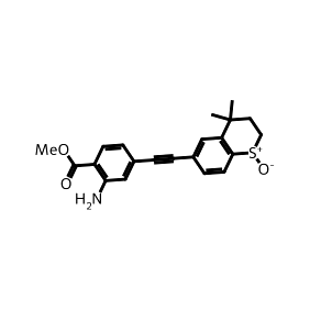 COC(=O)c1ccc(C#Cc2ccc3c(c2)C(C)(C)CC[S+]3[O-])cc1N